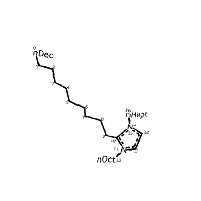 CCCCCCCCCCCCCCCCCCCc1n(CCCCCCCC)cc[n+]1CCCCCCC